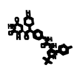 Cc1ccc(-n2nc(C(C)(C)C)cc2NC(=O)Nc2ccc(C(C(=O)[C@H]3CC(=O)NC(=O)N3)C3CCNCC3)cc2)cc1